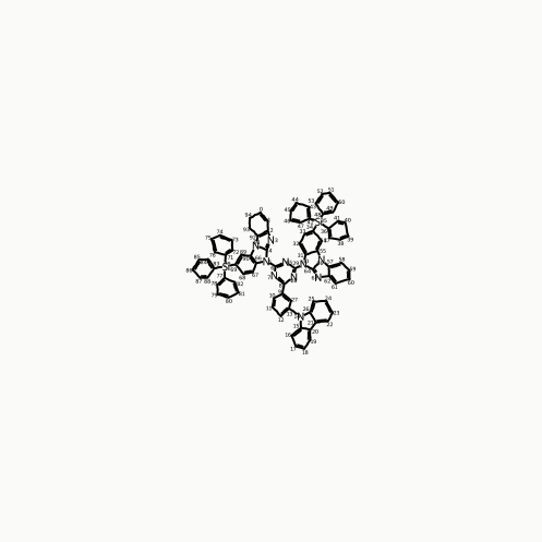 C1=Cc2nc3n(-c4nc(-c5cccc(-n6c7ccccc7c7ccccc76)c5)nc(-n5c6ccc([Si](c7ccccc7)(c7ccccc7)c7ccccc7)cc6n6c7ccccc7nc56)n4)c4ccc([Si](c5ccccc5)(c5ccccc5)c5ccccc5)cc4n3c2CC1